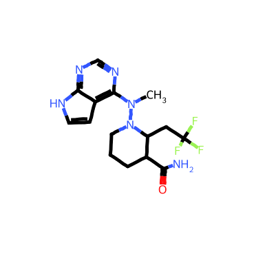 CN(c1ncnc2[nH]ccc12)N1CCCC(C(N)=O)C1CC(F)(F)F